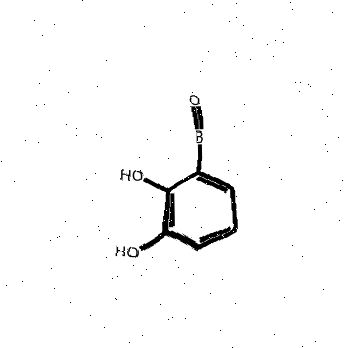 O=Bc1cccc(O)c1O